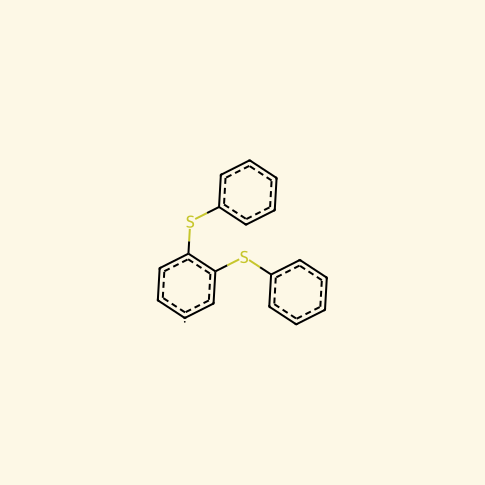 [c]1ccc(Sc2ccccc2)c(Sc2ccccc2)c1